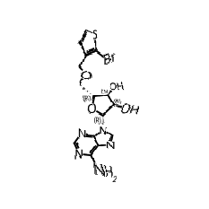 Nc1ncnc2c1ncn2[C@@H]1O[C@H](COCc2ccsc2Br)[C@@H](O)[C@H]1O